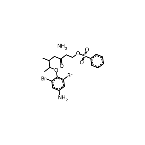 CC(CC(=O)CCOS(=O)(=O)c1ccccc1)C(C)Oc1c(Br)cc(N)cc1Br.N